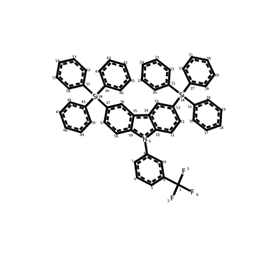 FC(F)(F)c1cccc(-n2c3ccc([Si](c4ccccc4)(c4ccccc4)c4ccccc4)cc3c3cc([Si](c4ccccc4)(c4ccccc4)c4ccccc4)ccc32)c1